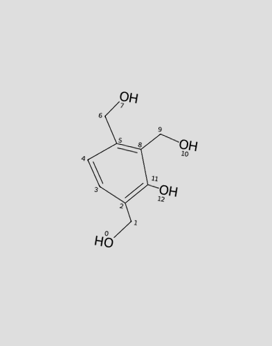 OCc1ccc(CO)c(CO)c1O